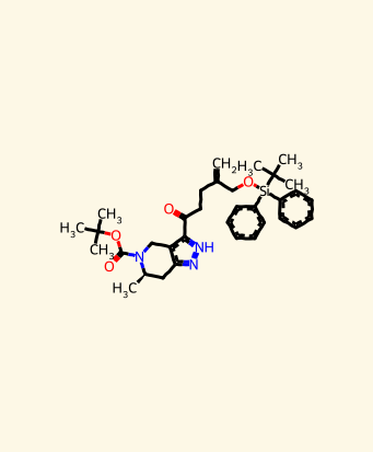 C=C(CCC(=O)c1[nH]nc2c1CN(C(=O)OC(C)(C)C)[C@H](C)C2)CO[Si](c1ccccc1)(c1ccccc1)C(C)(C)C